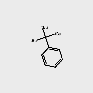 CC(C)(C)C(c1ccccc1)(C(C)(C)C)C(C)(C)C